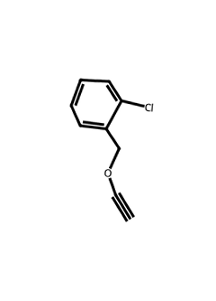 C#COCc1ccccc1Cl